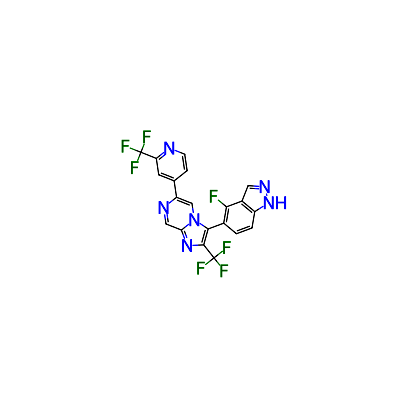 Fc1c(-c2c(C(F)(F)F)nc3cnc(-c4ccnc(C(F)(F)F)c4)cn23)ccc2[nH]ncc12